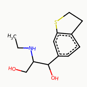 CCNC(CO)C(O)c1ccc2c(c1)SCC2